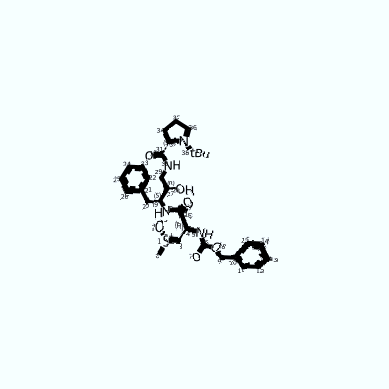 C[S+]([O-])C[C@H](NC(=O)OCc1ccccc1)C(=O)N[C@@H](Cc1ccccc1)[C@H](O)CNC(=O)[C@@H]1CCCN1C(C)(C)C